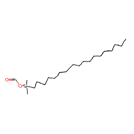 CCCCCCCCCCCCCCCCCC[Si](C)(C)OC=O